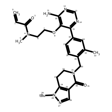 C=CC(=O)N(C)CCOc1c(N)ncnc1-c1ccc(CN2CCc3c(cnn3C(C)(C)C)C2=O)c(C)c1